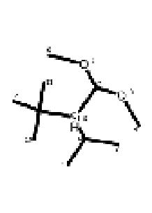 COC(OC)[SiH](C(C)C)C(C)(C)C